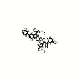 C[C@@H]1C[C@@H](C(=O)Nc2cc(O)ccn2)N(C(=O)Cn2nc(C(N)=O)c3cc(-c4ccnnc4)ccc32)C1